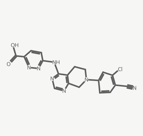 N#Cc1ccc(N2CCc3c(ncnc3Nc3ccc(C(=O)O)nn3)C2)cc1Cl